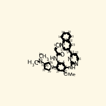 C=CC(=O)Nc1cc(Nc2nccc(-c3cnc4ccccc4c3)n2)c(OC)cc1N1CC[C@@H](N(C)C)C1